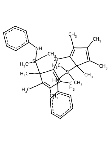 CC1=C(C)C(C)([Si](C)(C)Nc2ccccc2)[C]([Zr][C]2=C(C)C(C)=C(C)C2(C)[Si](C)(C)Nc2ccccc2)=C1C